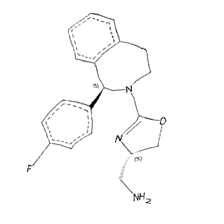 NC[C@H]1COC(N2CCc3ccccc3[C@@H]2c2ccc(F)cc2)=N1